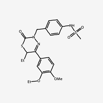 CCOc1cc(C2=NN(Cc3ccc(NS(C)(=O)=O)cc3)C(=O)SC2CC)ccc1OC